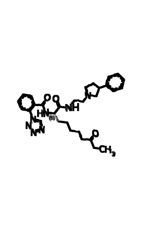 CCC(=O)CCCCC[C@H](NC(=O)c1ccccc1-n1cnnn1)C(=O)NCCN1CCC(c2ccccc2)C1